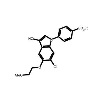 CCOC(=O)c1ccc(-n2cc(C#N)c3cc(OCCOC)c(Cl)cc32)cc1